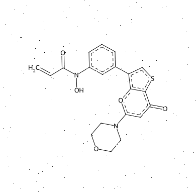 C=CC(=O)N(O)c1cccc(-c2csc3c(=O)cc(N4CCOCC4)oc23)c1